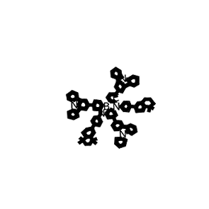 CC1(C)CCCc2cc(-c3ccc(N4c5cc(-c6cc7c8ccccc8n8c9ccccc9c(c6)c78)ccc5B5c6ccc(-c7cc8c9ccccc9n9c%10ccccc%10c(c7)c89)cc6N(c6ccc(-c7ccc8c(c7)C(C)(C)CCC8(C)C)cc6)c6cc(-c7ccc8c(c7)c7ccccc7n8-c7ccccc7)cc4c65)cc3)ccc21